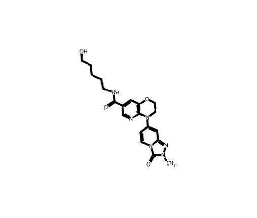 Cn1nc2cc(N3CCOc4cc(C(=O)NCCCCCO)cnc43)ccn2c1=O